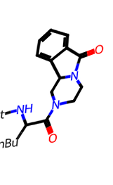 CCCCC(NCC)C(=O)N1CCN2C(=O)c3ccccc3C2C1